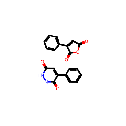 O=C1C=C(c2ccccc2)C(=O)O1.O=c1cc(-c2ccccc2)c(=O)[nH][nH]1